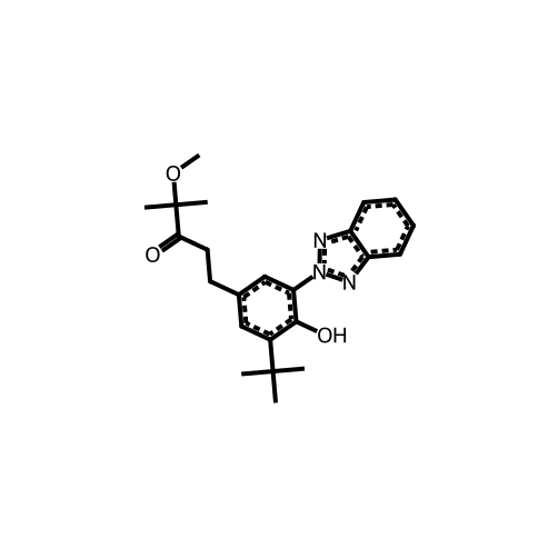 COC(C)(C)C(=O)CCc1cc(-n2nc3ccccc3n2)c(O)c(C(C)(C)C)c1